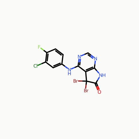 O=C1Nc2ncnc(Nc3ccc(F)c(Cl)c3)c2C1(Br)Br